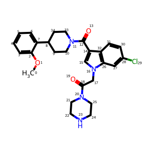 COc1ccccc1C1CCN(C(=O)c2cn(CC(=O)N3CCNCC3)c3cc(Cl)ccc23)CC1